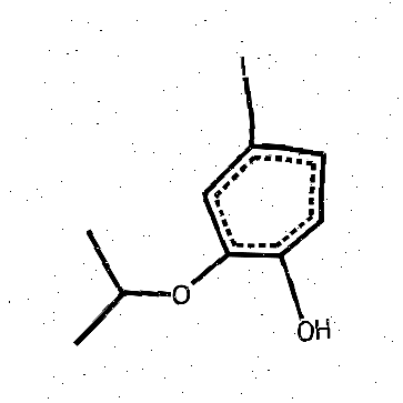 CC(C)Oc1cc(I)ccc1O